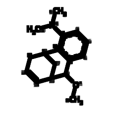 COC1c2cccc(N(C)C)c2C2CC=CC1C2